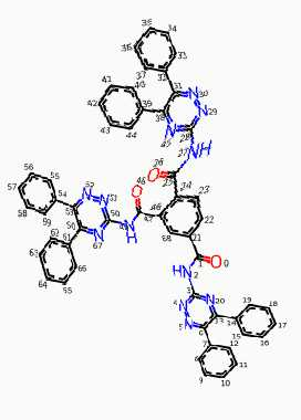 O=C(Nc1nnc(-c2ccccc2)c(-c2ccccc2)n1)c1ccc(C(=O)Nc2nnc(-c3ccccc3)c(-c3ccccc3)n2)c(C(=O)Nc2nnc(-c3ccccc3)c(-c3ccccc3)n2)c1